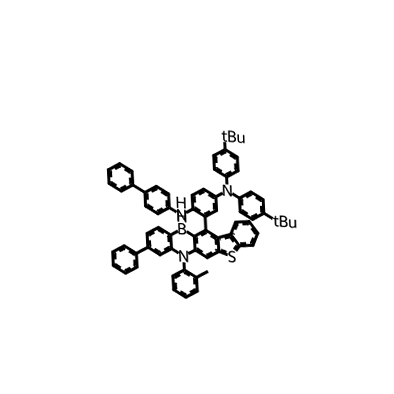 Cc1ccccc1N1c2cc(-c3ccccc3)ccc2Bc2c1cc1sc3ccccc3c1c2-c1cc(N(c2ccc(C(C)(C)C)cc2)c2ccc(C(C)(C)C)cc2)ccc1Nc1ccc(-c2ccccc2)cc1